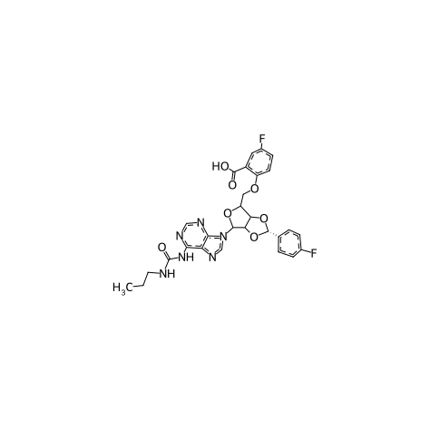 CCCNC(=O)Nc1ncnc2c1ncn2C1OC(COc2ccc(F)cc2C(=O)O)C2O[C@H](c3ccc(F)cc3)OC21